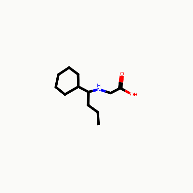 CCCC(NCC(=O)O)C1CCCCC1